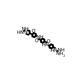 COc1cc(NC(=O)c2ccc(C(=O)Nc3ccc(CNC(=N)N)cc3)cc2)ccc1C1=CCN(C(=N)N)CC1